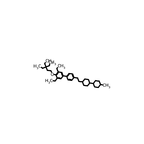 CCc1cc(-c2ccc(CCC3CCC(C4CCC(C)CC4)CC3)cc2)cc(CC)c1OCCC(CC)(CC)CC